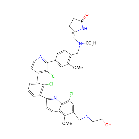 COc1cc(-c2nccc(-c3cccc(-c4ccc5c(OC)c(CNCCO)cc(Cl)c5n4)c3Cl)c2Cl)ccc1CN(C[C@@H]1CCC(=O)N1)C(=O)O